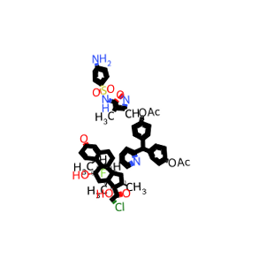 CC(=O)Oc1ccc(C(c2ccc(OC(C)=O)cc2)c2ccccn2)cc1.C[C@H]1C[C@H]2[C@@H]3CCC4=CC(=O)C=C[C@]4(C)[C@@]3(F)[C@@H](O)C[C@]2(C)[C@@]1(O)C(=O)CCl.Cc1noc(NS(=O)(=O)c2ccc(N)cc2)c1C